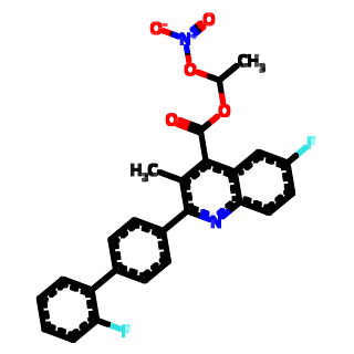 Cc1c(-c2ccc(-c3ccccc3F)cc2)nc2ccc(F)cc2c1C(=O)OC(C)O[N+](=O)[O-]